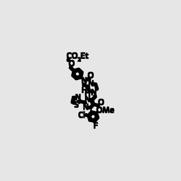 CCOC(=O)COCc1ccc(N2C[C@@H]3CN(CC4=C(C(=O)OC)[C@H](c5ccc(F)cc5Cl)N=C(c5nccs5)N4)CCN3C2=O)cc1